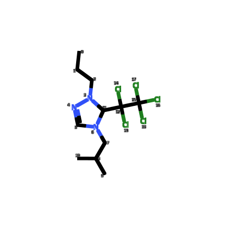 CCCN1N=CN(CC(C)C)C1C(Cl)(Cl)C(Cl)(Cl)Cl